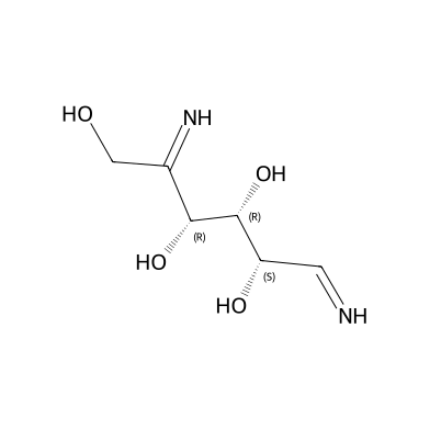 N=C[C@H](O)[C@@H](O)[C@H](O)C(=N)CO